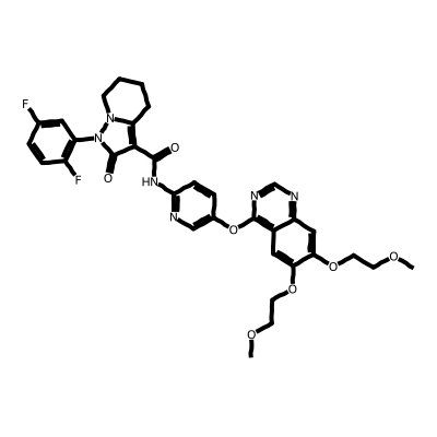 COCCOc1cc2ncnc(Oc3ccc(NC(=O)c4c5n(n(-c6cc(F)ccc6F)c4=O)CCCC5)nc3)c2cc1OCCOC